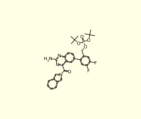 CC(C)(C)OP(=O)(OCc1cc(F)c(F)cc1-c1ccc2nc(N)nc(C(=O)n3cc4ccccc4c3)c2c1)OC(C)(C)C